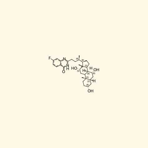 C[C@H](CCc1nc2cc(F)ccc2c(=O)[nH]1)[C@H]1CC[C@H]2[C@H]3C(C[C@H](O)[C@]12C)[C@@]1(C)CC[C@@H](O)C[C@H]1C[C@H]3O